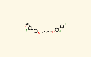 Fc1ccc(-c2ccc(OCCCCCCCOc3ccc(-c4ccc(OC(F)(F)F)c(F)c4)cc3)cc2F)cc1